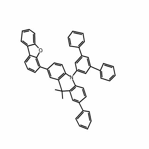 CC1(C)c2cc(-c3ccccc3)ccc2N(c2cc(-c3ccccc3)cc(-c3ccccc3)c2)c2ccc(-c3cccc4c3oc3ccccc34)cc21